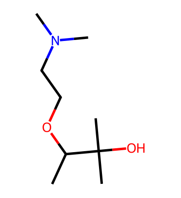 CC(OCCN(C)C)C(C)(C)O